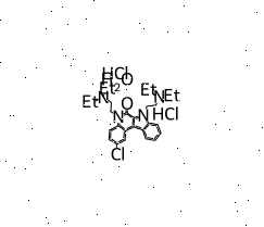 CCN(CC)CCn1c(=O)c2c(c3cc(Cl)ccc31)c1ccccc1n2CCN(CC)CC.Cl.Cl.O